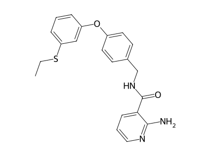 CCSc1cccc(Oc2ccc(CNC(=O)c3cccnc3N)cc2)c1